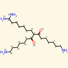 NCCCCCCC(=O)C(CCCCCCC(N)N)C(=O)CCCCCCN